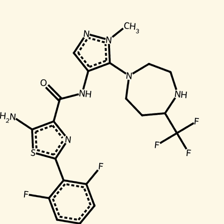 Cn1ncc(NC(=O)c2nc(-c3c(F)cccc3F)sc2N)c1N1CCNC(C(F)(F)F)CC1